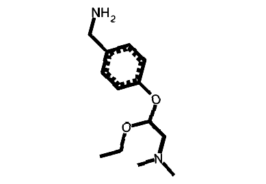 CCOC(CN(C)C)Oc1ccc(CN)cc1